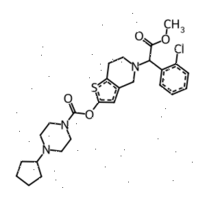 COC(=O)C(c1ccccc1Cl)N1CCc2sc(OC(=O)N3CCN(C4CCCC4)CC3)cc2C1